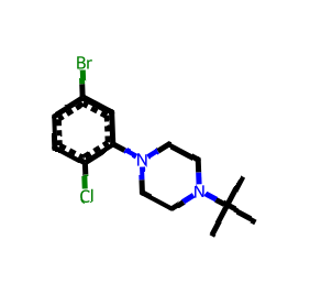 CC(C)(C)N1CCN(c2cc(Br)ccc2Cl)CC1